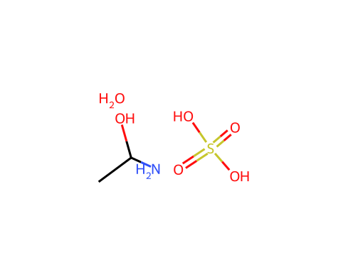 CC(N)O.O.O=S(=O)(O)O